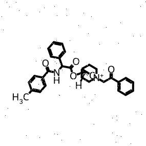 Cc1ccc(C(=O)NC(C(=O)O[C@H]2C[N+]3(CC(=O)c4ccccc4)CCC2CC3)c2ccccc2)cc1